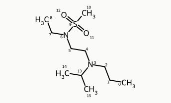 CCCN(CCN(CC)S(C)(=O)=O)C(C)C